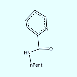 CCCCCNC(=O)c1ccccn1